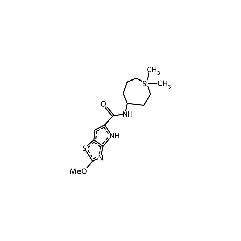 COc1nc2[nH]c(C(=O)NC3CCC[Si](C)(C)CC3)cc2s1